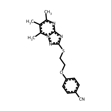 Cc1nc2nc(SCCOc3ccc(C#N)cc3)nn2c(C)c1C